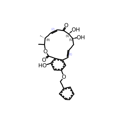 CC1OC(=O)c2c(O)cc(OCc3ccccc3)cc2/C=C/C[C@H](O)[C@H](O)C(=O)/C=C\[C@H]1C